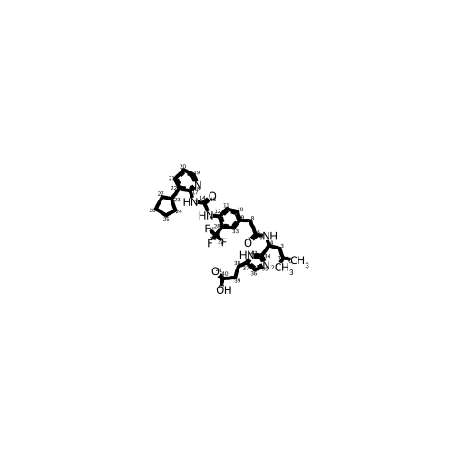 CC(C)CC(NC(=O)Cc1ccc(NC(=O)Nc2ncccc2C2CCCC2)c(C(F)(F)F)c1)c1ncc(CCC(=O)O)[nH]1